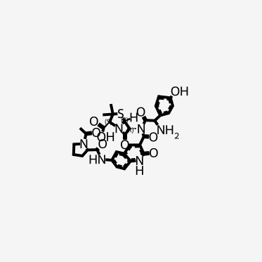 CC(=O)N1CCCC1C(=O)Nc1ccc2[nH]c(=O)c(C(=O)N(C(=O)C(N)c3ccc(O)cc3)[C@@H]3C(=O)N4[C@@H]3SC(C)(C)[C@@H]4C(=O)O)cc2c1